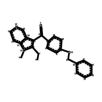 CCc1c(C(=O)c2ccc(OCc3ccccc3)cc2)c2cnccc2n1C